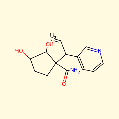 C=CC(c1cccnc1)C1(C(N)=O)CCC(O)C1O